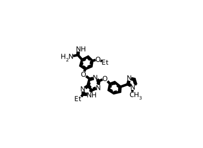 CCOc1cc(Oc2nc(Oc3cccc(-c4nccn4C)c3)nc3[nH]c(CC)nc23)cc(C(=N)N)c1